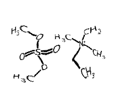 CC[N+](C)(C)C.COS(=O)(=O)OC